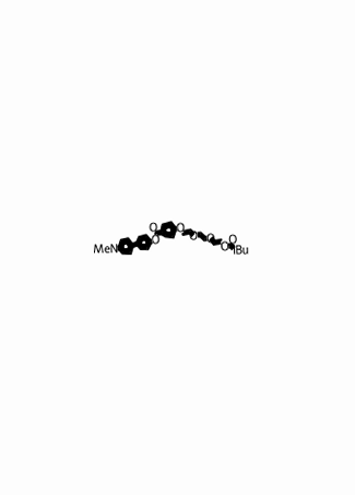 CCC(C)C(=O)OCCOCCOCCOc1ccc(C(=O)Oc2ccc(-c3ccc(NC)cc3)cc2)cc1